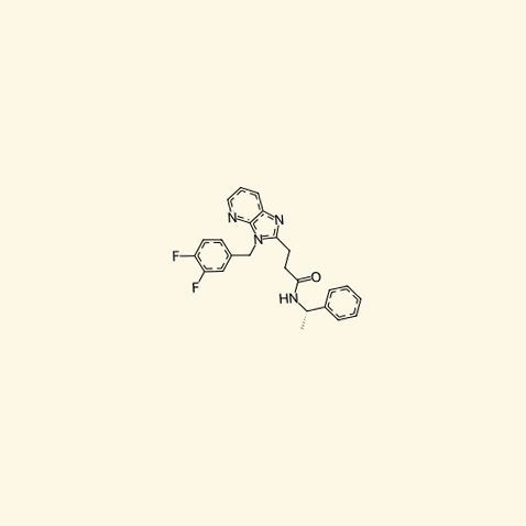 C[C@H](NC(=O)CCc1nc2cccnc2n1Cc1ccc(F)c(F)c1)c1ccccc1